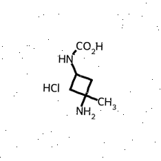 CC1(N)CC(NC(=O)O)C1.Cl